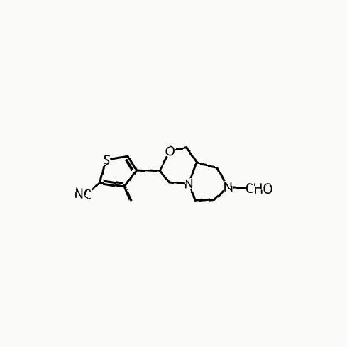 Cc1c(C2CN3CCN(C=O)CC3CO2)csc1C#N